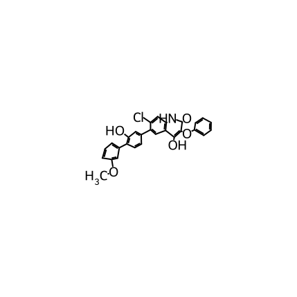 COc1cccc(-c2ccc(-c3cc4c(O)c(Oc5ccccc5)c(=O)[nH]c4cc3Cl)cc2O)c1